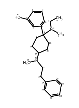 CCN(C)C1(c2cccc(O)c2)CCC(N(C)CCc2ccccc2)CC1